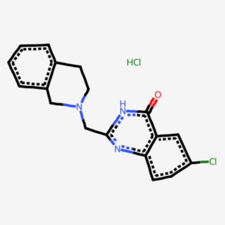 Cl.O=c1[nH]c(CN2CCc3ccccc3C2)nc2ccc(Cl)cc12